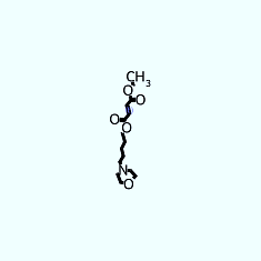 CCOC(=O)/C=C/C(=O)OCCCCCN1CCOCC1